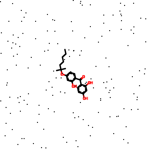 CCCCCC(C)(C)Oc1ccc(C(=O)c2ccc(O)cc2O)c(O)c1